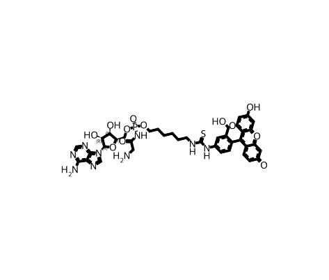 NCC(=O)NP(=O)(OCCCCCCNC(=S)Nc1ccc(-c2c3ccc(=O)cc-3oc3cc(O)ccc23)c(C(=O)O)c1)OC[C@H]1O[C@@H](n2cnc3c(N)ncnc32)[C@H](O)[C@@H]1O